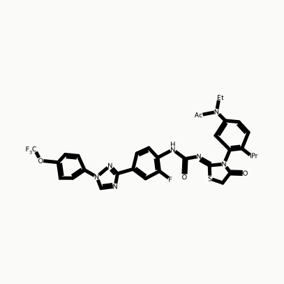 CCN(C(C)=O)c1ccc(C(C)C)c(N2C(=O)CS/C2=N\C(=O)Nc2ccc(-c3ncn(-c4ccc(OC(F)(F)F)cc4)n3)cc2F)c1